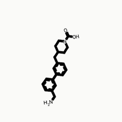 NCc1cccc(-c2cccc(CC3CCN(C(=O)O)CC3)c2)c1